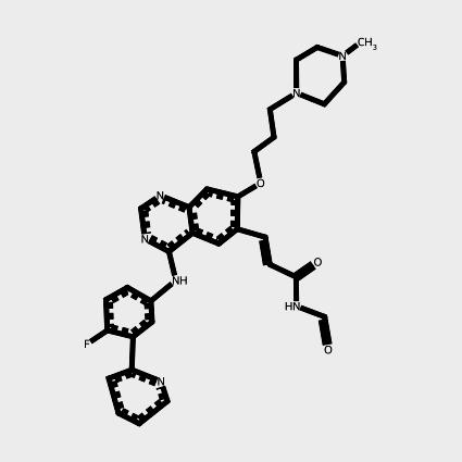 CN1CCN(CCCOc2cc3ncnc(Nc4ccc(F)c(-c5ccccn5)c4)c3cc2C=CC(=O)NC=O)CC1